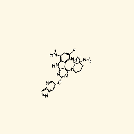 CNc1cc(F)c(Cl)c2c1[nH]c1nc(Oc3cnc4ccnn4c3)nc(N3CCCC(N)(N)C3)c12